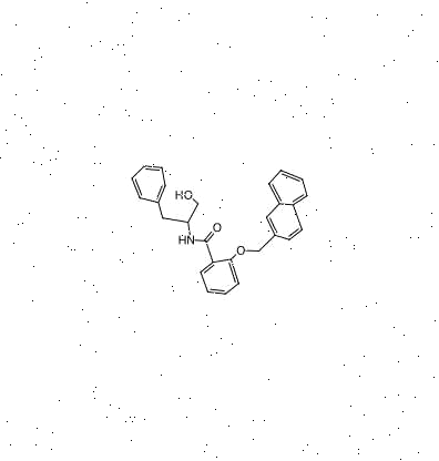 O=C(NC(CO)Cc1ccccc1)c1ccccc1OCc1ccc2ccccc2c1